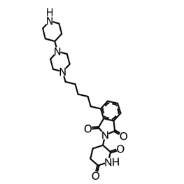 O=C1CCC(N2C(=O)c3cccc(CCCCCN4CCN(C5CCNCC5)CC4)c3C2=O)C(=O)N1